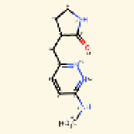 O=C(O)Nc1ccc(CC2CCNC2=O)nn1